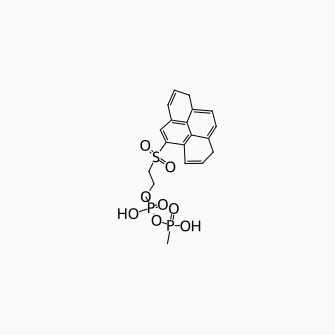 CP(=O)(O)OP(=O)(O)OCCS(=O)(=O)c1cc2c3c(ccc4c3c1C=CC4)CC=C2